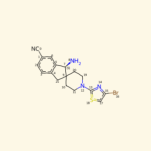 N#Cc1ccc2c(c1)[C@@H](N)C1(CCN(c3nc(Br)cs3)CC1)C2